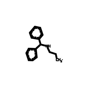 [CH2]CCNC(c1ccccc1)c1ccccc1